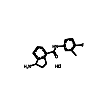 Cc1cc(NC(=O)c2cccc3c2CCC3N)ccc1F.Cl